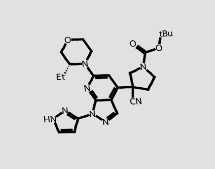 CC[C@@H]1COCCN1c1cc(C2(C#N)CCN(C(=O)OC(C)(C)C)C2)c2cnn(-c3cc[nH]n3)c2n1